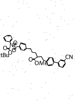 COC(=O)C(CCCc1ccc(S(=O)(=O)N(C(=O)OC(C)(C)C)c2ccccc2)cc1)CCc1ccc(-c2cccc(C#N)c2)cc1